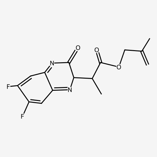 C=C(C)COC(=O)C(C)C1N=c2cc(F)c(F)cc2=NC1=O